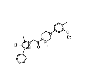 CCOc1cc(N2CCN(C(=O)Cn3nc(-c4ccccn4)c(Cl)c3C)[C@@H](C)C2)ccc1I